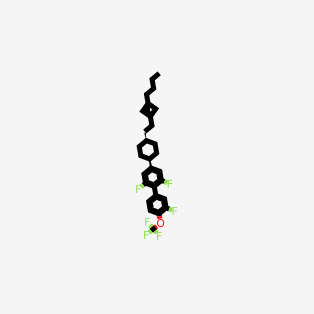 CCCCC12CC(CC[C@H]3CC[C@H](c4cc(F)c(-c5ccc(OC(F)(F)F)c(F)c5)c(F)c4)CC3)(C1)C2